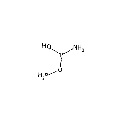 NP(O)OP